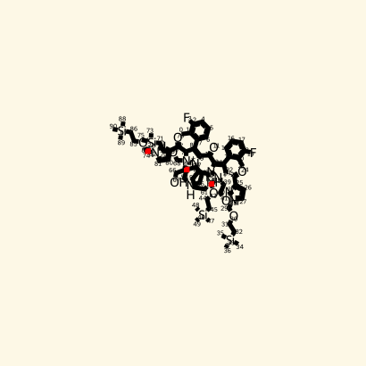 Cc1c(F)cccc1C1=C(C(=O)C2=C(c3cccc(F)c3C)[C@H](C(=O)c3ccn(COCC[Si](C)(C)C)n3)[N+](CCO)(COCC[Si](C)(C)C)N2[C@H]2CCCNC2)N(C2CCCNC2)[N+](CCO)(COCC[Si](C)(C)C)C1C(=O)c1ccn(COCC[Si](C)(C)C)n1